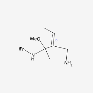 C/C=C(/CN)C(C)(NC(C)C)OC